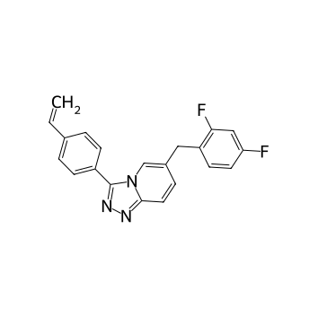 C=Cc1ccc(-c2nnc3ccc(Cc4ccc(F)cc4F)cn23)cc1